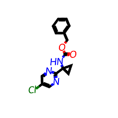 O=C(NC1(c2ncc(Cl)cn2)CC1)OCc1ccccc1